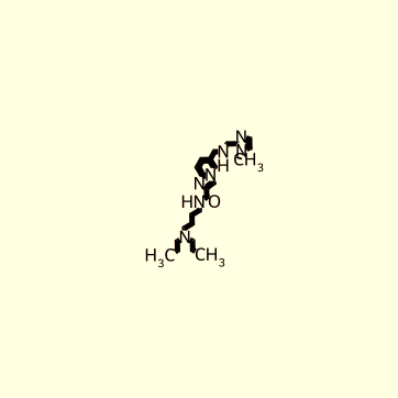 CCCN(CCC)CCCCNC(=O)c1cn2cc(CNCc3nccn3C)ccc2n1